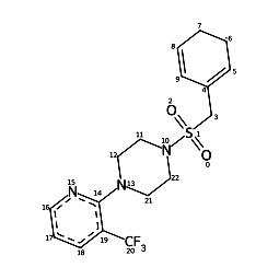 O=S(=O)(CC1=C[CH]CC=C1)N1CCN(c2ncccc2C(F)(F)F)CC1